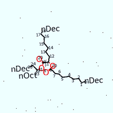 CCCCCCCCCCCCCCCCCC(=O)OC(CCCCCCCCCCCCCCCC)C(=O)OC(CCCCCCCC)CCCCCCCCCCC